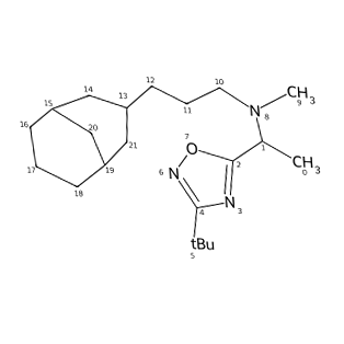 CC(c1nc(C(C)(C)C)no1)N(C)CCCC1CC2CCCC(C2)C1